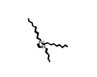 CCCCCCCCC[n+]1ccn(CCCCC)c1CCCCCCCC